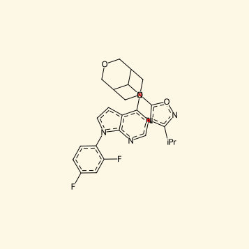 CC(C)c1noc(N2CC3COCC(C2)C3Oc2ncnc3c2ccn3-c2ccc(F)cc2F)n1